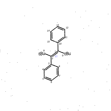 CC(C)(C)/C(=C(\c1ccccc1)C(C)(C)C)c1ccccc1